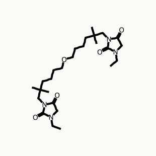 CCN1CC(=O)N(CC(C)(C)CCCCOCCCCC(C)(C)CN2C(=O)CN(CC)C2=O)C1=O